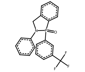 O=P1(c2cccc(C(F)(F)F)c2)c2ccccc2CN1c1ccccc1